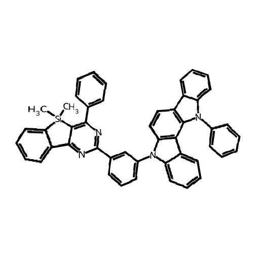 C[Si]1(C)c2ccccc2-c2nc(-c3cccc(-n4c5ccccc5c5c4ccc4c6ccccc6n(-c6ccccc6)c45)c3)nc(-c3ccccc3)c21